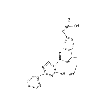 CC(NC(=O)c1cnc(-c2ccccn2)nc1O)c1ccc(O[PH](=O)O)cc1.CCCC